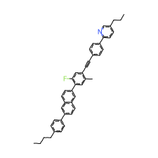 CCCCc1ccc(-c2ccc3cc(-c4cc(C)c(C#Cc5ccc(-c6ccc(CCC)cn6)cc5)cc4F)ccc3c2)cc1